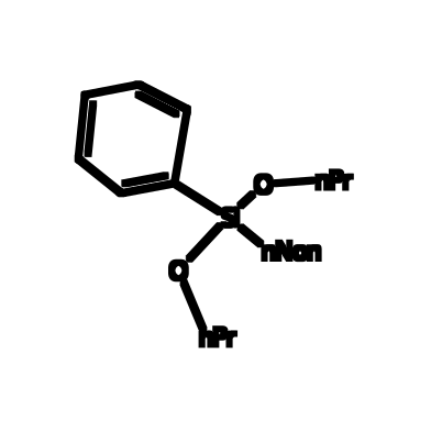 CCCCCCCCC[Si](OCCC)(OCCC)c1ccccc1